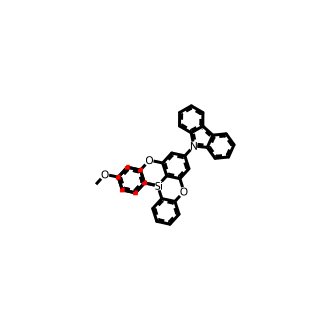 COc1ccc([Si]23c4ccccc4Oc4cc(-n5c6ccccc6c6ccccc65)cc(c42)Oc2ccccc23)cc1